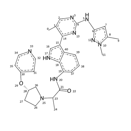 Cc1cnc(Nc2cc(C)n(C)n2)nc1-c1c[nH]c2c(NC(=O)C(C)N3CC[C@H](Oc4ccncc4)C3)cccc12